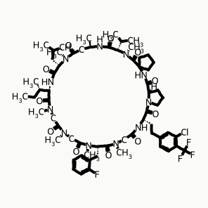 CC[C@H](C)[C@@H]1NC(=O)[C@H](CC(C)C)N(C)C(=O)C[C@@H](C)NC(=O)[C@H](C(C)C)N(C)C(=O)C2(CCCC2)NC(=O)[C@@H]2CCCN2C(=O)[C@H](CCc2ccc(C(F)(F)F)c(Cl)c2)NC(=O)CN(C)C(=O)[C@H](Cc2ccccc2F)N(C)C(=O)CN(C)C(=O)CN(C)C1=O